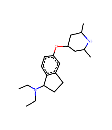 CCN(CC)C1CCc2cc(OC3CC(C)NC(C)C3)ccc21